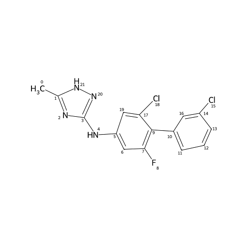 Cc1nc(Nc2cc(F)c(-c3cccc(Cl)c3)c(Cl)c2)n[nH]1